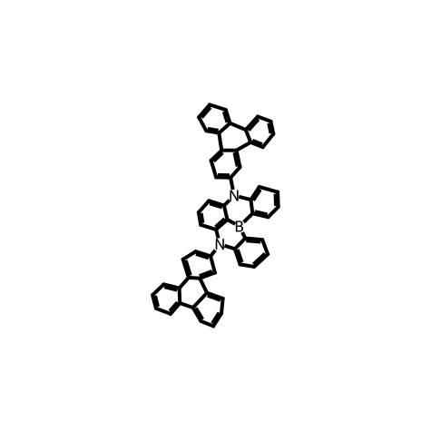 c1ccc2c(c1)B1c3ccccc3N(c3ccc4c5ccccc5c5ccccc5c4c3)c3cccc(c31)N2c1ccc2c3ccccc3c3ccccc3c2c1